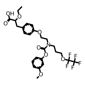 CCOC(Cc1ccc(OCCN(CCCOC(F)(F)C(F)(F)F)C(=O)Oc2cccc(OC)c2)cc1)C(=O)O